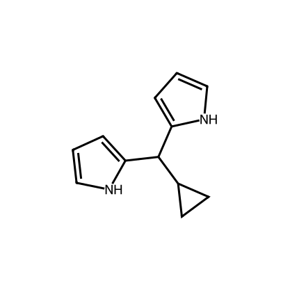 c1c[nH]c(C(c2ccc[nH]2)C2CC2)c1